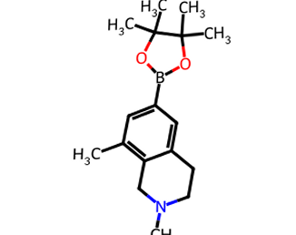 Cc1cc(B2OC(C)(C)C(C)(C)O2)cc2c1CN(C)CC2